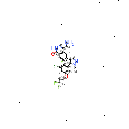 Cn1ncc(-c2ccc3c(=O)[nH]nc(CN)c3c2)c1-c1c(F)c(Cl)cc(OC2CC(F)(F)C2)c1C#N